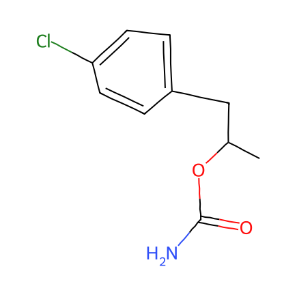 CC(Cc1ccc(Cl)cc1)OC(N)=O